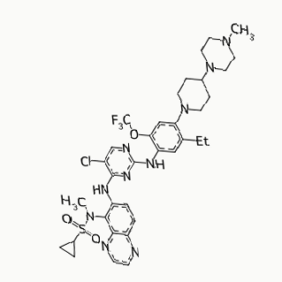 CCc1cc(Nc2ncc(Cl)c(Nc3ccc4nccnc4c3N(C)S(=O)(=O)C3CC3)n2)c(OC(F)(F)F)cc1N1CCC(N2CCN(C)CC2)CC1